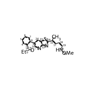 CC[S+]([O-])c1ccccc1-c1cnc2nc(/C(C)=C/C=C\NOC)sc2c1